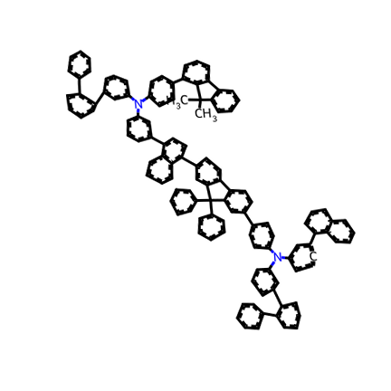 CC1(C)c2ccccc2-c2cccc(-c3ccc(N(c4cccc(-c5ccccc5-c5ccccc5)c4)c4cccc(-c5ccc(-c6ccc7c(c6)C(c6ccccc6)(c6ccccc6)c6cc(-c8ccc(N(c9cccc(-c%10ccccc%10-c%10ccccc%10)c9)c9cccc(-c%10cccc%11ccccc%10%11)c9)cc8)ccc6-7)c6ccccc56)c4)cc3)c21